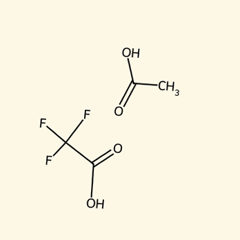 CC(=O)O.O=C(O)C(F)(F)F